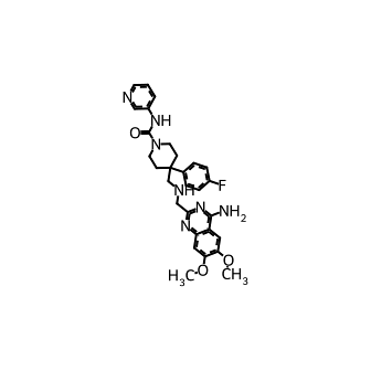 COc1cc2nc(CNCC3(c4ccc(F)cc4)CCN(C(=O)Nc4cccnc4)CC3)nc(N)c2cc1OC